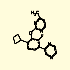 Cc1ccnc(Oc2c(C3CCC3)ccc(-c3cnccn3)c2F)n1